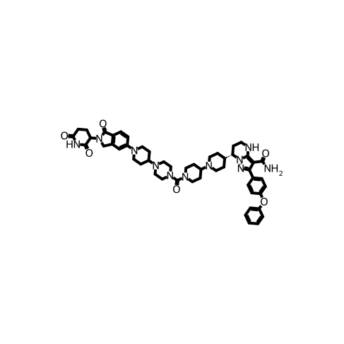 NC(=O)c1c(-c2ccc(Oc3ccccc3)cc2)nn2c1NCC[C@H]2C1CCN(C2CCN(C(=O)N3CCN(C4CCN(c5ccc6c(c5)CN(C5CCC(=O)NC5=O)C6=O)CC4)CC3)CC2)CC1